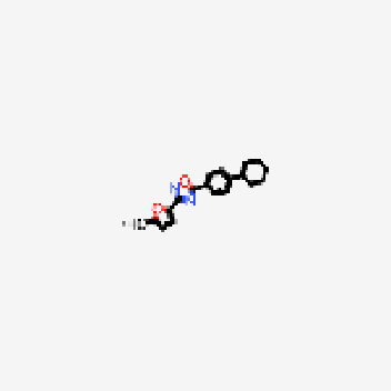 [CH]c1ccc(-c2noc(-c3ccc(C4CCCCC4)cc3)n2)o1